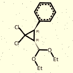 CCOC(OCC)[C@H]1[C@H](c2ccccc2)C1(Cl)Cl